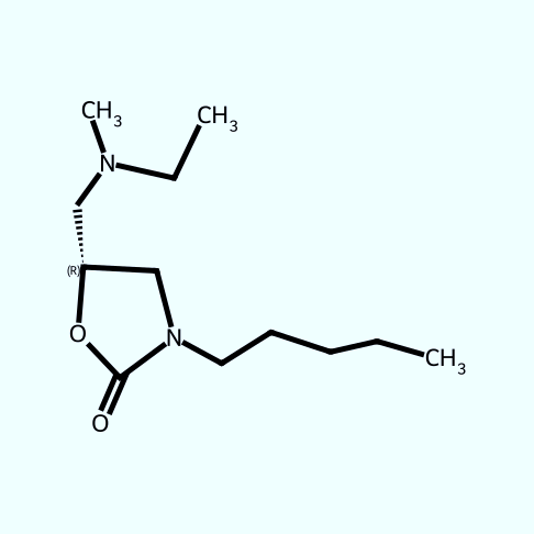 CCCCCN1C[C@@H](CN(C)CC)OC1=O